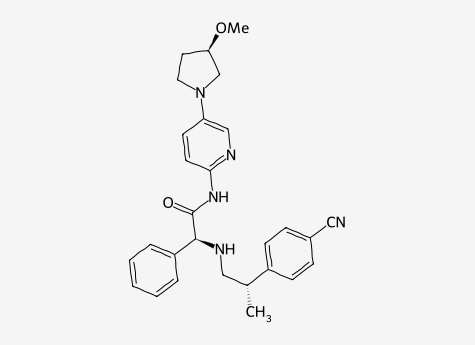 CO[C@@H]1CCN(c2ccc(NC(=O)[C@@H](NC[C@@H](C)c3ccc(C#N)cc3)c3ccccc3)nc2)C1